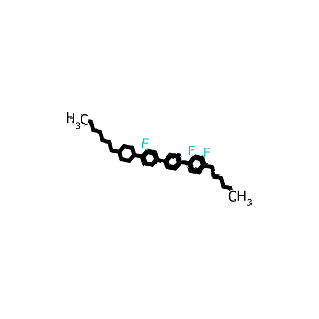 CCCCCCCC1CCC(c2ccc(-c3ccc(-c4ccc(CCCCCC)c(F)c4F)cc3)cc2F)CC1